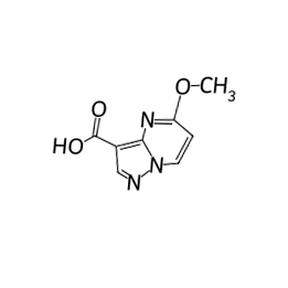 COc1ccn2ncc(C(=O)O)c2n1